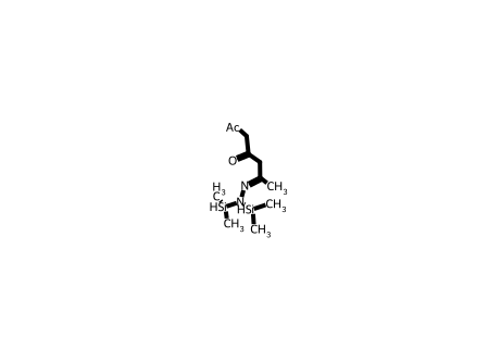 CC(=O)CC(=O)CC(C)=NN([SiH](C)C)[SiH](C)C